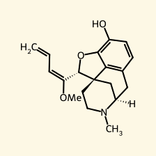 C=C/C=C(/OC)[C@@H]1Oc2c(O)ccc3c2[C@@]12CCN(C)[C@H](C3)C2